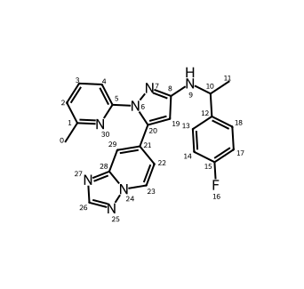 Cc1cccc(-n2nc(NC(C)c3ccc(F)cc3)cc2-c2ccn3ncnc3c2)n1